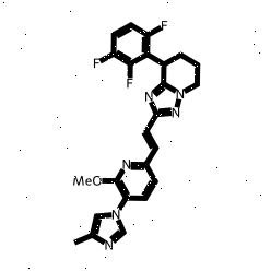 COc1nc(/C=C/c2nc3n(n2)CCCC3c2c(F)ccc(F)c2F)ccc1-n1cnc(C)c1